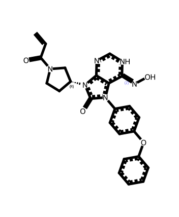 C=CC(=O)N1CC[C@@H](n2c(=O)n(-c3ccc(Oc4ccccc4)cc3)c3/c(=N/O)[nH]cnc32)C1